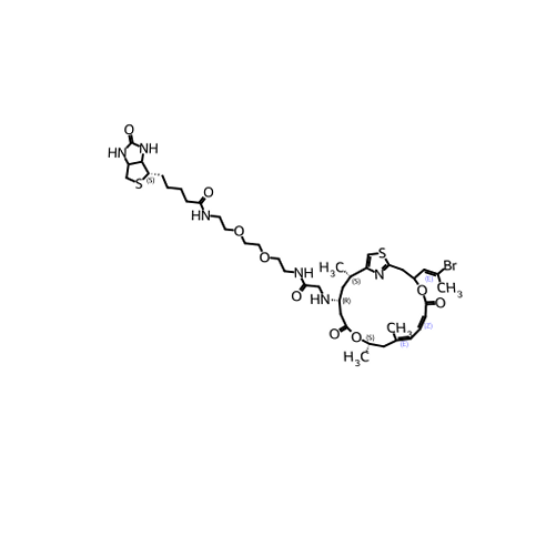 C/C(Br)=C\C1Cc2nc(cs2)[C@@H](C)C[C@@H](NCC(=O)NCCOCCOCCNC(=O)CCCC[C@@H]2SCC3NC(=O)NC32)CC(=O)O[C@@H](C)C/C(C)=C/C=C\C(=O)O1